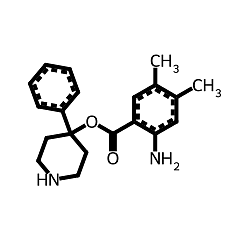 Cc1cc(N)c(C(=O)OC2(c3ccccc3)CCNCC2)cc1C